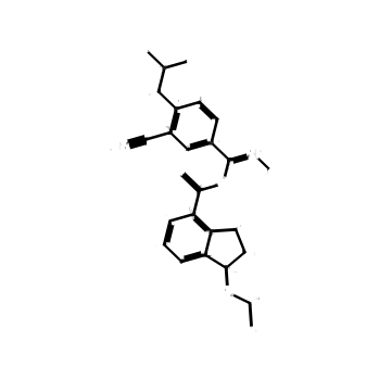 C=C(S/C(=N\C)c1ccc(CC(C)C)c(C#N)c1)c1cccc2c1CCC2NCC